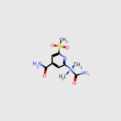 C[N+](C)(C(N)=O)c1cc(C(N)=O)cc(S(C)(=O)=O)n1